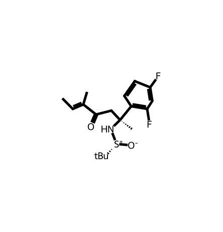 C/C=C(\C)C(=O)C[C@](C)(N[S@+]([O-])C(C)(C)C)c1ccc(F)cc1F